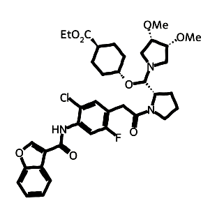 CCOC(=O)[C@H]1CC[C@H](OC([C@@H]2CCCN2C(=O)Cc2cc(Cl)c(NC(=O)c3coc4ccccc34)cc2F)N2C[C@H](OC)[C@H](OC)C2)CC1